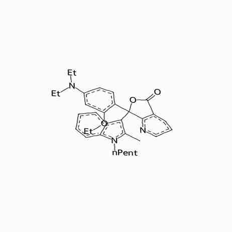 CCCCCn1c(C)c(C2(c3ccc(N(CC)CC)cc3OCC)OC(=O)c3cccnc32)c2ccccc21